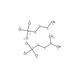 CC(C#N)CC[Si](Cl)(Cl)Cl.N#CCCC[Si](Cl)(Cl)Cl